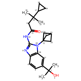 CC(C)(O)c1ccc2nc(NC(=O)CC(C)(C)C3CC3)n(C34CC(C3)C4)c2c1